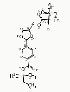 CCC(C)(C)OC(=O)c1ccc(C2OCC(COC(=O)C(F)(F)S(=O)(=O)O)O2)cc1